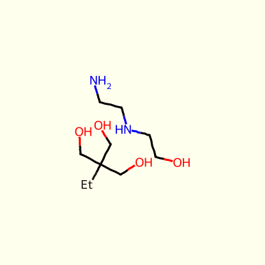 CCC(CO)(CO)CO.NCCNCCO